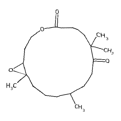 CC1CCCC2(C)OC2CCOC(=O)CCC(C)(C)C(=O)CC1